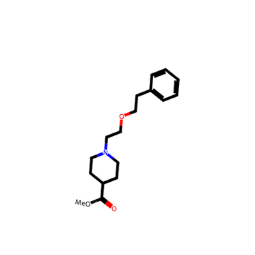 COC(=O)C1CCN(CCOCCc2ccccc2)CC1